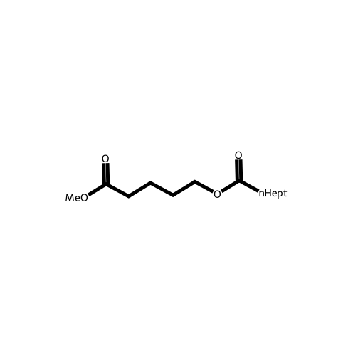 CCCCCCCC(=O)OCCCCC(=O)OC